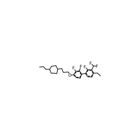 CCCC1CCC(CCCOc2ccc(-c3ccc(CC)c(C(F)F)c3F)c(F)c2F)CC1